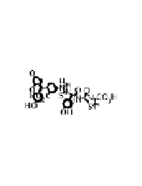 CC1(C)SC2C(NC(=O)C(NC(=S)Nc3ccc(-c4c5ccc(=O)cc-5oc5cc(O)ccc45)c(C(=O)O)c3)c3ccc(O)cc3)C(=O)N2C1C(=O)O